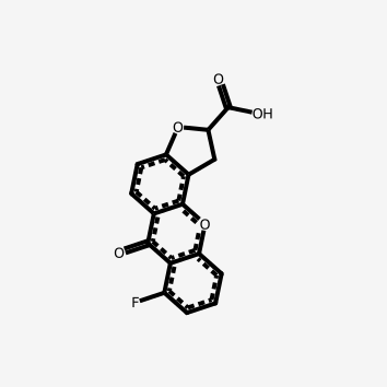 O=C(O)C1Cc2c(ccc3c(=O)c4c(F)cccc4oc23)O1